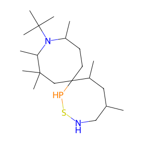 CC1CNSPC2(CCC(C)N(C(C)(C)C)C(C)C(C)(C)C2)C(C)C1